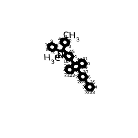 Cc1ccc(-c2c(-c3ccccc3)n(C)c3cc(-c4c5ccccc5c(-c5ccc(-c6ccccc6)cc5)c5ccccc45)ccc23)cc1